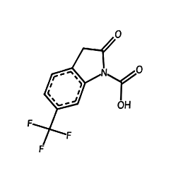 O=C(O)N1C(=O)Cc2ccc(C(F)(F)F)cc21